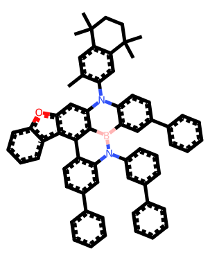 Cc1cc2c(cc1N1c3ccc(-c4ccccc4)cc3B3c4c1cc1oc5ccccc5c1c4-c1ccc(-c4ccccc4)cc1N3c1cccc(-c3ccccc3)c1)C(C)(C)CCC2(C)C